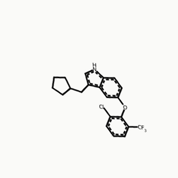 FC(F)(F)c1c[c]cc(Cl)c1Oc1ccc2[nH]cc(CC3CCCC3)c2c1